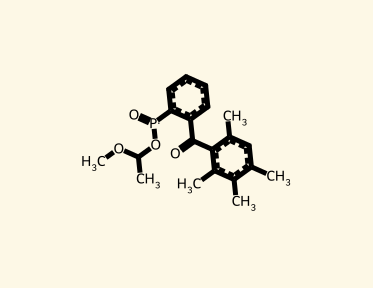 COC(C)O[P](=O)c1ccccc1C(=O)c1c(C)cc(C)c(C)c1C